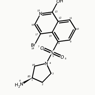 N[C@@H]1CCN(S(=O)(=O)c2cccc3c(O)ncc(Br)c23)C1